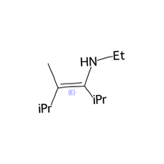 CCN/C(=C(\C)C(C)C)C(C)C